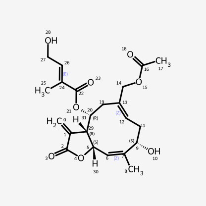 C=C1C(=O)O[C@H]2/C=C(/C)[C@@H](O)C/C=C(\COC(C)=O)C[C@@H](OC(=O)/C(C)=C/CO)[C@@H]12